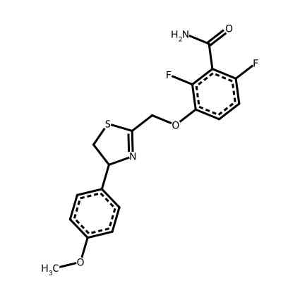 COc1ccc(C2CSC(COc3ccc(F)c(C(N)=O)c3F)=N2)cc1